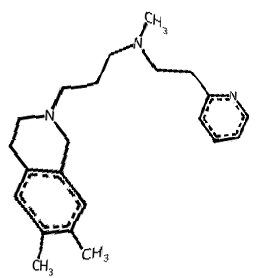 Cc1cc2c(cc1C)CN(CCCN(C)CCc1ccccn1)CC2